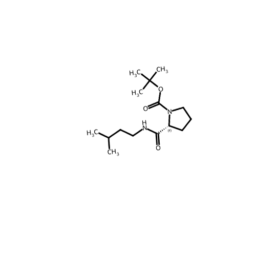 CC(C)CCNC(=O)[C@H]1CCCN1C(=O)OC(C)(C)C